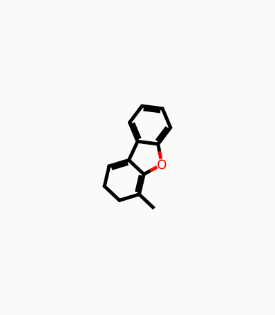 CC1=c2oc3ccccc3c2=CCC1